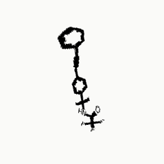 CC(C)(NC(=O)C(F)(F)F)c1ccc(C#Cc2ccccc2)cc1